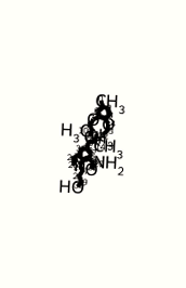 Cc1ccc2c(c1)OCC(C)(C)N([C@H](C)Cc1cc(C(N)=O)c3c(ccn3CCCO)c1)CCO2